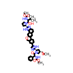 COC[C@H]1C[C@@H](c2ncc(-c3ccc4c(c3)COc3cc5c(ccc6nc([C@@H]7CCCN7C(O)[C@@H](NC(=O)OC)C(C)C)[nH]c65)cc3-4)[nH]2)N(C(=O)[C@H](NC(=O)OC)C2C=CC=CC2)C1